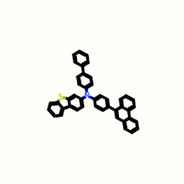 c1ccc(-c2ccc(N(c3ccc(-c4cc5ccccc5c5ccccc45)cc3)c3ccc4c(c3)sc3ccccc34)cc2)cc1